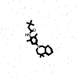 Cc1cc(N2CCC(C)(C)C3=CC=CCC3C2)cc(C)c1NC(=O)CC(C)(C)C